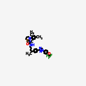 Cc1cc(C)c(N2CCCS/C2=N\C(=O)NCCCC(C)c2ccc(-c3ncn(-c4ccc(OC(F)(F)F)cc4)n3)cc2)c(C)c1